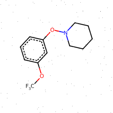 FC(F)(F)Oc1cccc(ON2CCCCC2)c1